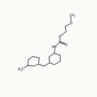 COCCOC(=O)NC1CCCC(CC2CCCC(C)C2)C1